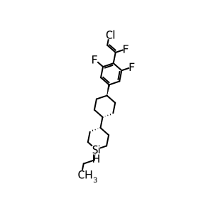 CCC[Si@H]1CC[C@H]([C@H]2CC[C@H](c3cc(F)c(C(F)=CCl)c(F)c3)CC2)CC1